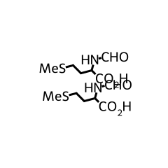 CSCCC(NC=O)C(=O)O.CSCCC(NC=O)C(=O)O